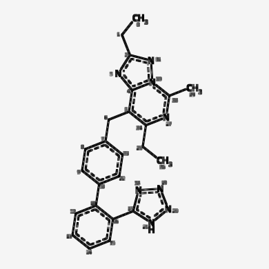 CCc1nc2c(Cc3ccc(-c4ccccc4-c4nnn[nH]4)cc3)c(CC)nc(C)n2n1